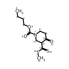 CCCCOC(=O)N1CCC(=O)C(C(=S)SC)C1